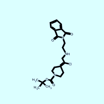 CC(C)(C)OC(=O)N1CCC(=C(Cl)CNCCN2C(=O)c3ccccc3C2=O)CC1